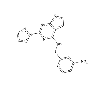 O=[N+]([O-])c1cccc(CNc2nc(-n3cccn3)nc3sccc23)c1